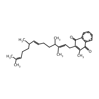 CC(C)=CCCC(C)/C=C/CCC(C)/C(C)=C/CC1=C(C)C(=O)c2ccccc2C1=O